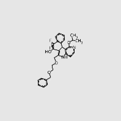 CC(C)Oc1nccc2c1C(c1ccccc1C(F)(F)F)C(C(=O)O)=C(COCCOCc1ccccc1)N2